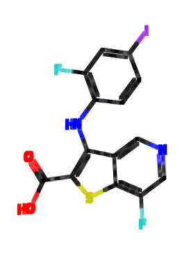 O=C(O)c1sc2c(F)cncc2c1Nc1ccc(I)cc1F